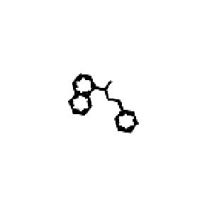 C[C](CCc1ccccc1)c1cccc2ccccc12